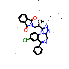 CC(CN1C(=O)c2ccccc2C1=O)c1nnc2n1-c1ccc(Cl)cc1C(c1ccccc1)=NC2